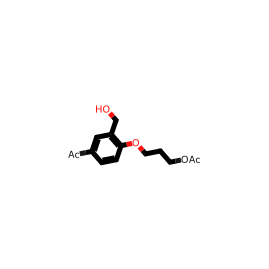 CC(=O)OCCCOc1ccc(C(C)=O)cc1CO